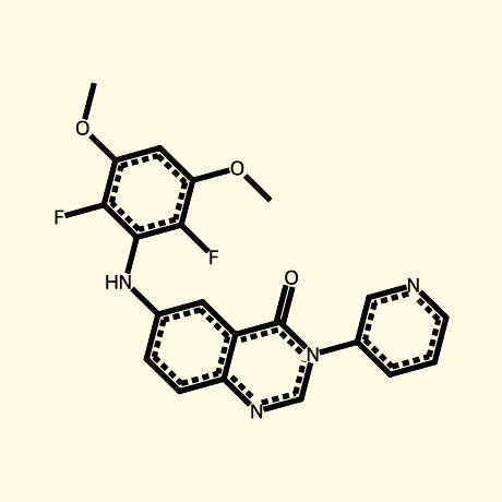 COc1cc(OC)c(F)c(Nc2ccc3ncn(-c4cccnc4)c(=O)c3c2)c1F